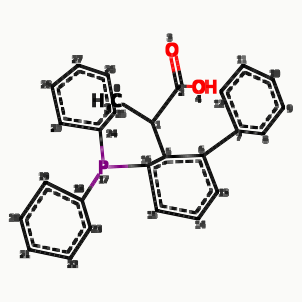 CC(C(=O)O)c1c(-c2ccccc2)cccc1P(c1ccccc1)c1ccccc1